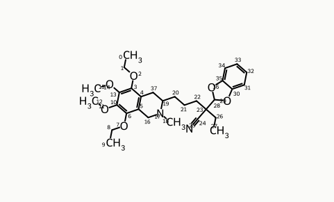 CCOc1c2c(c(OCC)c(OC)c1OC)CN(C)C(CCCC(C#N)(CC)C1Oc3ccccc3O1)C2